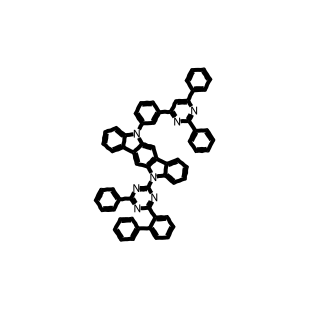 c1ccc(-c2cc(-c3cccc(-n4c5ccccc5c5cc6c(cc54)c4ccccc4n6-c4nc(-c5ccccc5)nc(-c5ccccc5-c5ccccc5)n4)c3)nc(-c3ccccc3)n2)cc1